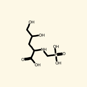 O=C(O)C(CC(O)CO)NCP(=O)(O)O